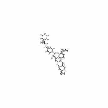 COc1ccc(C2CCc3cc(O)ccc3C2)c(NC(C)Cc2ccc(CCNC3CCCCC3)cc2)c1